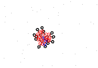 O=C(NC1=CCCCC1)C([C@@H]1O[C@H](COCc2ccccc2)[C@@H](OCc2ccccc2)[C@H](OCc2ccccc2)[C@H]1OCc1ccccc1)N(C[C@@H]1O[C@H](COCc2ccccc2)[C@@H](OCc2ccccc2)[C@H](OCc2ccccc2)[C@H]1OCc1ccccc1)C(=O)[C@@H]1O[C@H](COCc2ccccc2)[C@@H](OCc2ccccc2)[C@H](OCc2ccccc2)[C@H]1OCc1ccccc1